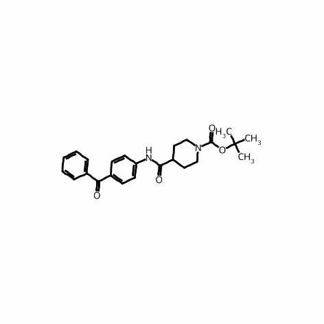 CC(C)(C)OC(=O)N1CCC(C(=O)Nc2ccc(C(=O)c3ccccc3)cc2)CC1